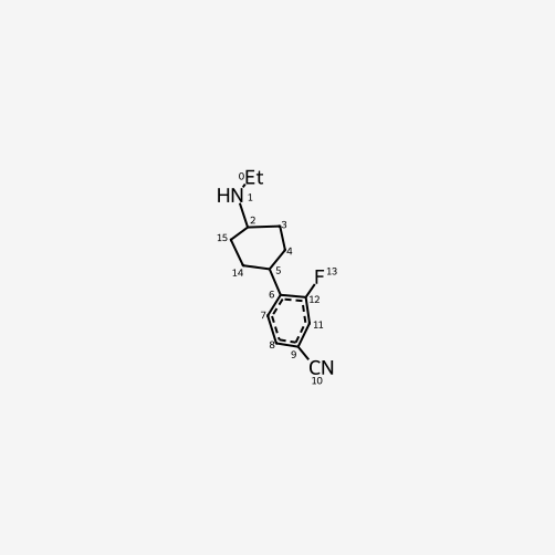 [CH2]CNC1CCC(c2ccc(C#N)cc2F)CC1